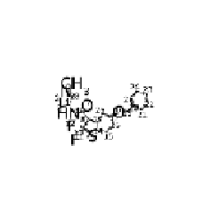 CN1CCC(NC(=O)c2c(C(F)F)sc3ccc(OCc4ccccc4)cc23)C1